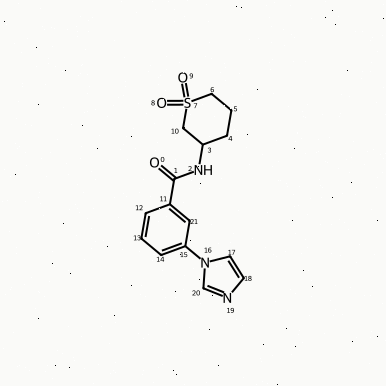 O=C(NC1CCCS(=O)(=O)C1)c1cccc(-n2ccnc2)c1